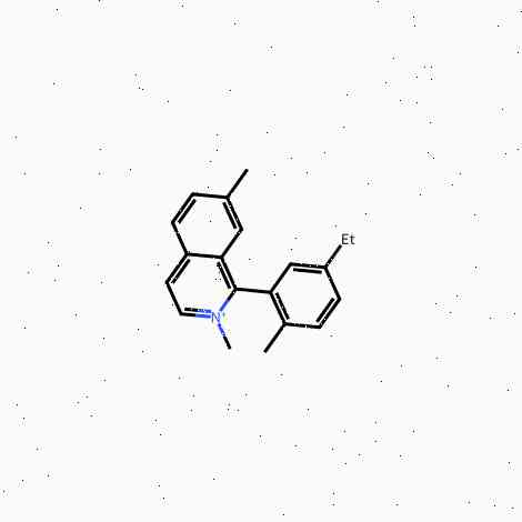 CCc1ccc(C)c(-c2c3cc(C)ccc3cc[n+]2C)c1